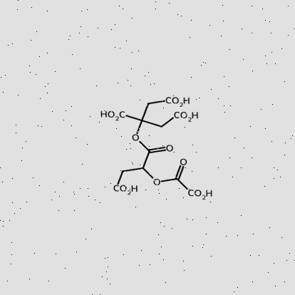 O=C(O)CC(OC(=O)C(=O)O)C(=O)OC(CC(=O)O)(CC(=O)O)C(=O)O